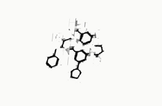 CCC(NC[C@H](O)[C@H](Cc1ccccc1)NC(=O)c1cc(C2CCCC2)cc(N2CCCC2=O)c1)c1cccc(Cl)c1